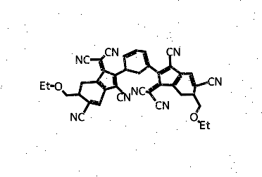 CCOCC1CC2=C(C=C1C#N)C(C#N)=C(C1=CC=CC(C3=C(C#N)C4=C(CC(COCC)C(C#N)=C4)C3=C(C#N)C#N)C1)C2=C(C#N)C#N